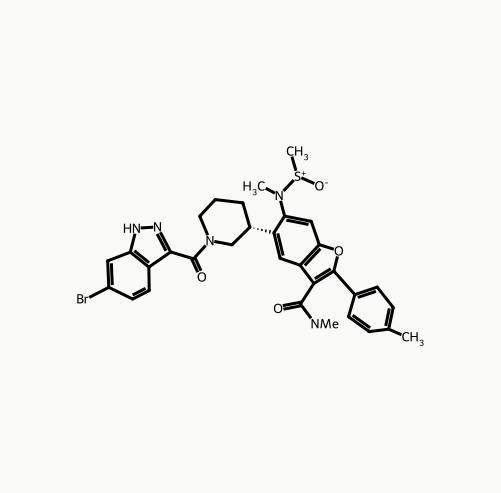 CNC(=O)c1c(-c2ccc(C)cc2)oc2cc(N(C)[S+](C)[O-])c([C@H]3CCCN(C(=O)c4n[nH]c5cc(Br)ccc45)C3)cc12